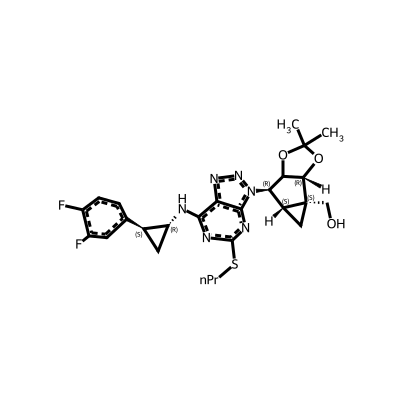 CCCSc1nc(N[C@@H]2C[C@H]2c2ccc(F)c(F)c2)c2nnn([C@H]3C4OC(C)(C)O[C@@H]4[C@@]4(CO)C[C@H]34)c2n1